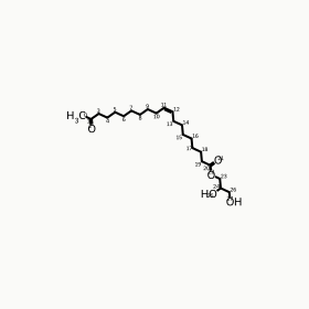 CC(=O)CCCCCCCC/C=C\CCCCCCCC(=O)OCC(O)CO